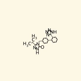 CC(C)c1n[nH]c(=O)n1Cc1ccc(-c2ccccc2-c2nnn[nH]2)cc1